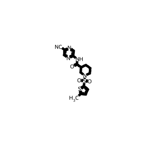 Cc1ccc(S(=O)(=O)N2CCCC(C(=O)Nc3cnc(C#N)cn3)C2)s1